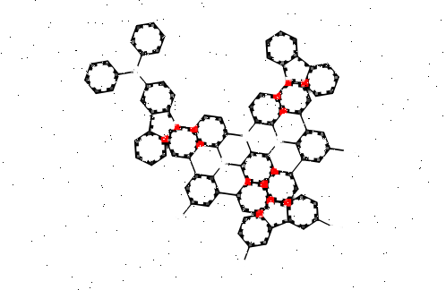 CC(C)(C)c1cc(-c2ccccc2)c(N2c3cc(-n4c5ccccc5c5ccccc54)ccc3B3c4ccc(-n5c6ccccc6c6cc(N(c7ccccc7)c7ccccc7)ccc65)cc4N(c4c(-c5ccccc5)cc(C(C)(C)C)cc4-c4ccccc4)c4cc(-n5c6ccc(C(C)(C)C)cc6c6cc(C(C)(C)C)ccc65)cc2c43)c(-c2ccccc2)c1